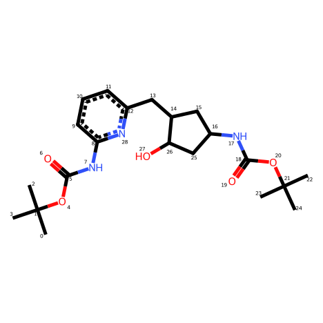 CC(C)(C)OC(=O)Nc1cccc(CC2CC(NC(=O)OC(C)(C)C)CC2O)n1